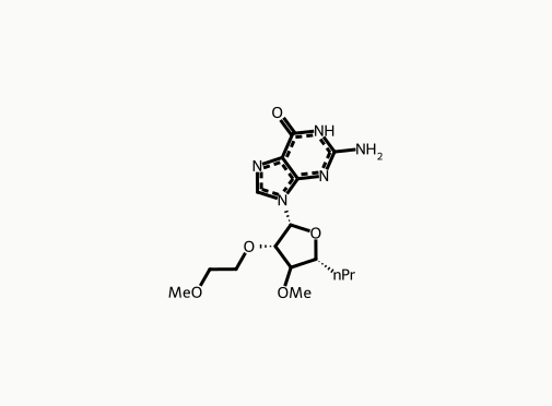 CCC[C@H]1O[C@@H](n2cnc3c(=O)[nH]c(N)nc32)[C@@H](OCCOC)C1OC